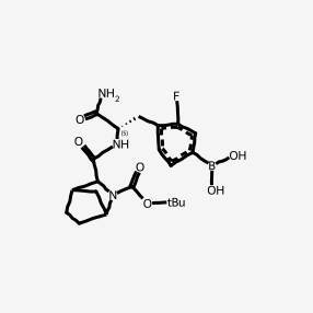 CC(C)(C)OC(=O)N1C2CCC(C2)C1C(=O)N[C@@H](Cc1ccc(B(O)O)cc1F)C(N)=O